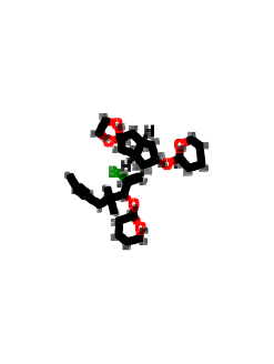 CC#CCC(C)(C)[C@H](OC1CCCCO1)C(Br)=C[C@@H]1[C@H]2CC3(C[C@H]2C[C@H]1OC1CCCCO1)OCCO3